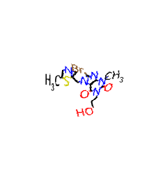 CC1=CN2CC2(Cn2c(Br)nc3c2c(=O)n(CCCO)c(=O)n3C)S1